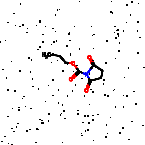 CCCOC(=O)N1C(=O)CCC1=O